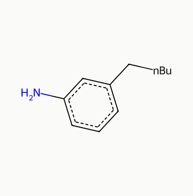 CCCCCc1cccc(N)c1